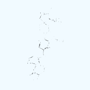 CC1OCC2(CCN(c3ncc(Sc4ccnc5c4OCC4CCCN54)nc3CO)CC2)C1N